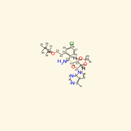 Cc1ncnc2c1ccn2[C@@H]1O[C@H](C(N)c2ccc(Cl)cc2CCO[Si](C)(C)C(C)(C)C)[C@H]2OC(C)(C)O[C@H]21